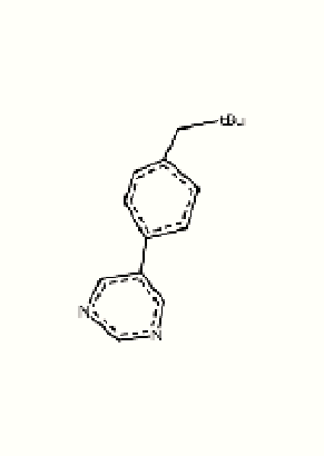 CC(C)(C)Cc1ccc(-c2cncnc2)cc1